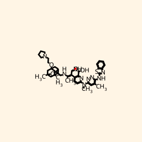 C/C(NCC1CC2(C)CC3(C)CC1CC(OCCN1CCCC1)(C2)C3)=C(/C=N)c1ccc(N(C)c2cc(C)c(Nc3nc4ccccc4s3)nn2)nc1C(=O)O